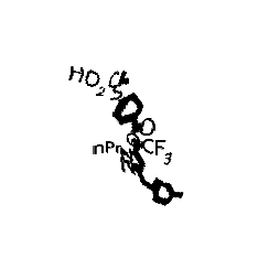 CCCn1nc(Cc2ccc(C)cc2)cc1[C@@H](OC(=O)c1ccc(SC(C)(C)C(=O)O)cc1)C(F)(F)F